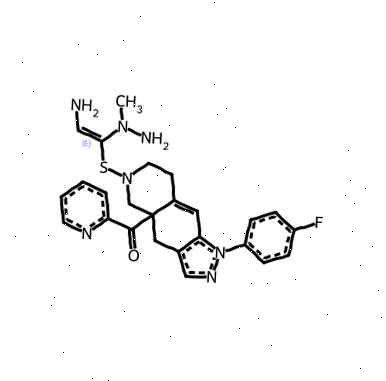 CN(N)/C(=C\N)SN1CCC2=Cc3c(cnn3-c3ccc(F)cc3)CC2(C(=O)c2ccccn2)C1